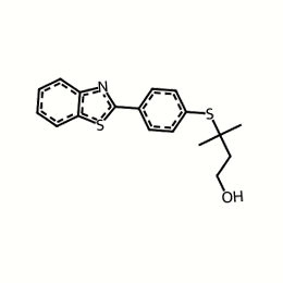 CC(C)(CCO)Sc1ccc(-c2nc3ccccc3s2)cc1